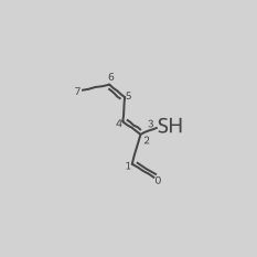 C=C/C(S)=C/C=C\C